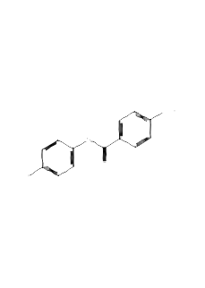 O=[C]c1ccc(C(=O)Nc2ccc(Cl)cc2)cc1